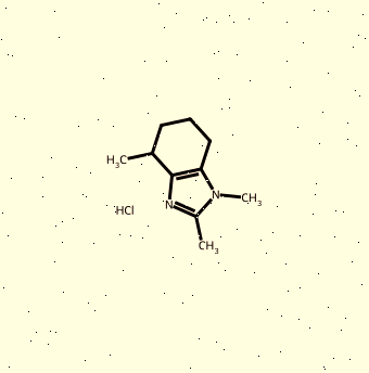 Cc1nc2c(n1C)CCCC2C.Cl